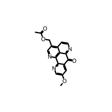 COc1cnc2c(c1)C(=O)c1nccc3c(COC(C)=O)cnc-2c13